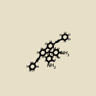 Cc1cc(C2(c3ccc(N)c(C)c3)c3cc(C#Cc4ccccc4)ccc3-c3ccc(C#Cc4ccccc4)cc32)ccc1N